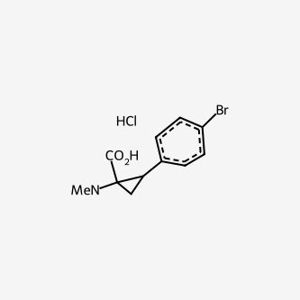 CNC1(C(=O)O)CC1c1ccc(Br)cc1.Cl